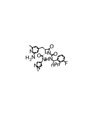 CCC[C@@H](NC(=O)N1C(=O)[C@H](Cc2cc(C)nc(N)c2)[C@H]1C(=O)N(C)c1cnn(C)c1)c1cccc(F)c1C